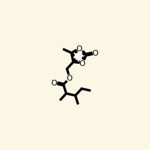 CCC(C)C(C)C(=O)OCc1oc(=O)oc1C